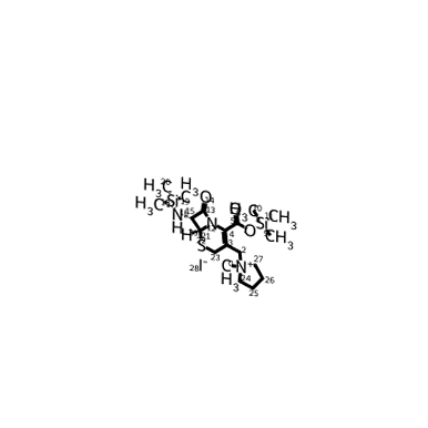 C[N+]1(CC2=C(C(=O)O[Si](C)(C)C)N3C(=O)[C@@H](N[Si](C)(C)C)[C@H]3SC2)CCCC1.[I-]